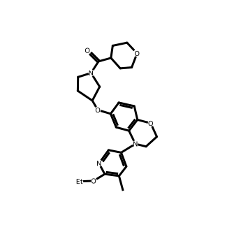 CCOc1ncc(N2CCOc3ccc(OC4CCN(C(=O)C5CCOCC5)C4)cc32)cc1C